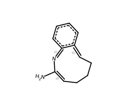 NC1=C\CCC\C=c2/cccc/c2=N/1